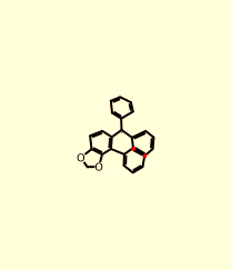 c1ccc([C](c2ccccc2)c2ccc3c(c2-c2ccccc2)OCO3)cc1